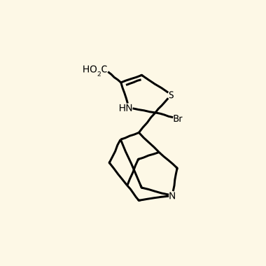 O=C(O)C1=CSC(Br)(C2C3CC4CC2CN(C4)C3)N1